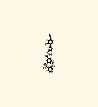 N#Cc1ccc(-c2ncc(CNC(=O)c3ccc4c(c3)NC(=O)c3ccncc3S4(=O)=O)s2)c(F)c1